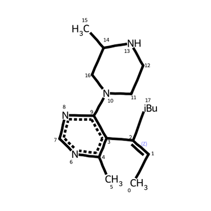 C/C=C(\c1c(C)ncnc1N1CCNC(C)C1)C(C)CC